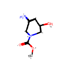 CC(C)(C)OC(=O)N1CC(N)CC(O)C1